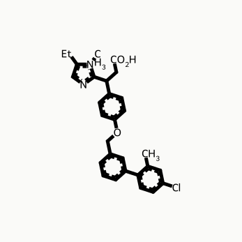 CCc1cnc(C(CC(=O)O)c2ccc(OCc3cccc(-c4ccc(Cl)cc4C)c3)cc2)n1C